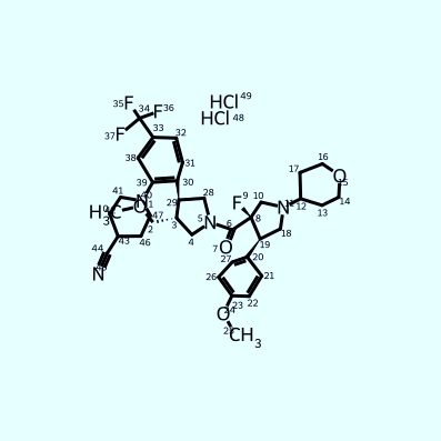 COC[C@H]1CN(C(=O)[C@]2(F)CN(C3CCOCC3)C[C@H]2c2ccc(OC)cc2)C[C@@H]1c1ccc(C(F)(F)F)cc1N1CCC(C#N)CC1.Cl.Cl